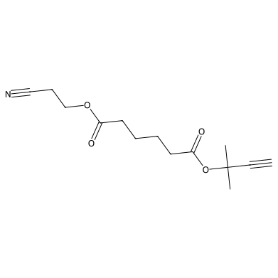 C#CC(C)(C)OC(=O)CCCCC(=O)OCCC#N